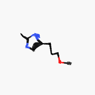 Cc1n[c]c(CCCOC(C)C)[nH]1